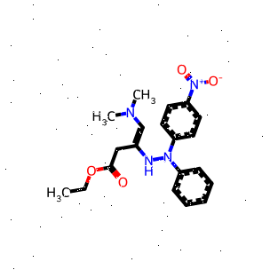 CCOC(=O)CC(=CN(C)C)NN(c1ccccc1)c1ccc([N+](=O)[O-])cc1